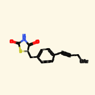 CC(=O)OCC#Cc1ccc(CC2SC(=O)NC2=O)cc1